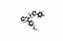 O=C(N[C@H](CN1CCCC1)[C@H](O)c1ccc(OCC(F)(F)F)nc1)[C@@H]1CCN(c2ccc(F)cc2)C1